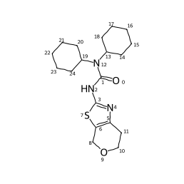 O=C(Nc1nc2c(s1)COCC2)N(C1CCCCC1)C1CCCCC1